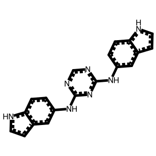 c1nc(Nc2ccc3[nH]ccc3c2)nc(Nc2ccc3[nH]ccc3c2)n1